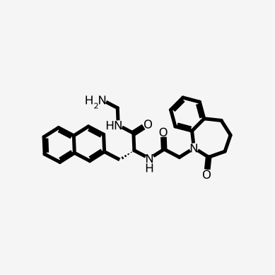 NCNC(=O)[C@@H](Cc1ccc2ccccc2c1)NC(=O)CN1C(=O)CCCc2ccccc21